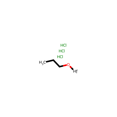 CCC[O][Hf].Cl.Cl.Cl